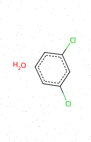 Clc1cccc(Cl)c1.O